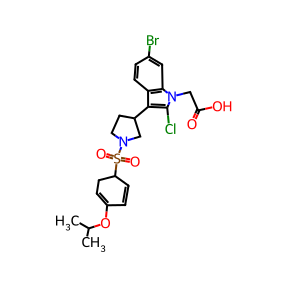 CC(C)OC1=CCC(S(=O)(=O)N2CCC(c3c(Cl)n(CC(=O)O)c4cc(Br)ccc34)C2)C=C1